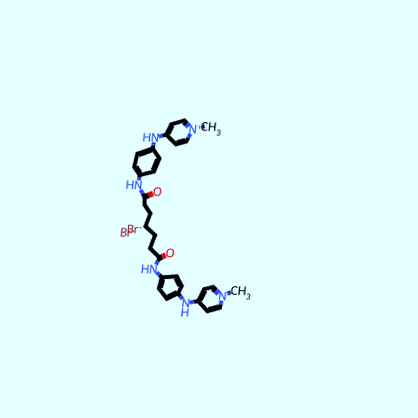 C[n+]1ccc(Nc2ccc(NC(=O)CCCCCC(=O)Nc3ccc(Nc4cc[n+](C)cc4)cc3)cc2)cc1.[Br-].[Br-]